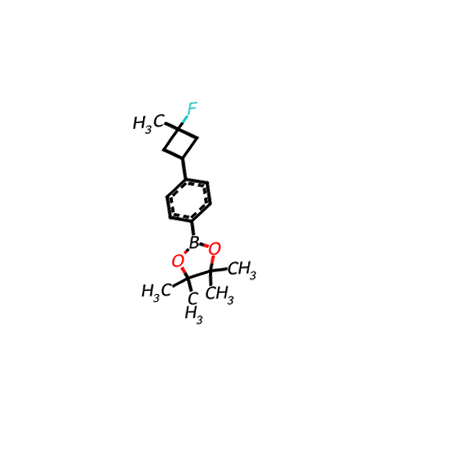 CC1(F)CC(c2ccc(B3OC(C)(C)C(C)(C)O3)cc2)C1